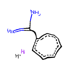 I.N=C(N)c1ccccc1.[H+]